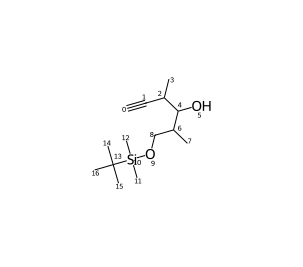 C#CC(C)C(O)C(C)CO[Si](C)(C)C(C)(C)C